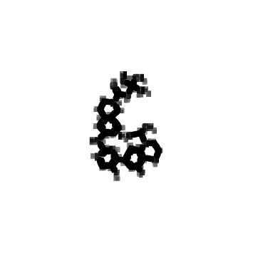 CC(C)N1CCOc2c(F)cc(-c3nc(Nc4ccc5c(c4)CCN(C(=O)OC(C)(C)C)C5)ncc3F)cc21